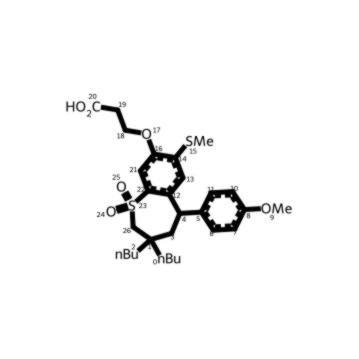 CCCCC1(CCCC)CC(c2ccc(OC)cc2)c2cc(SC)c(OCCC(=O)O)cc2S(=O)(=O)C1